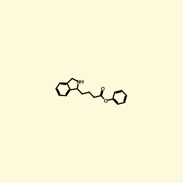 O=C(CCCC1NCc2ccccc21)Oc1ccccc1